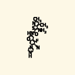 Cc1cc(C)c2c(N)c(C(=O)N[C@H]3COc4cc(N5CCNCC5)c(C#N)c(F)c4C3)sc2n1